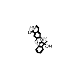 CC(O)(C(=O)Nc1cc2cc[nH]c(=O)c2cc1Cl)c1ccccc1